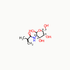 C=C(C)C(=O)N[C@H]1C(O)O[C@H](CO)[C@H](O)[C@@H]1O